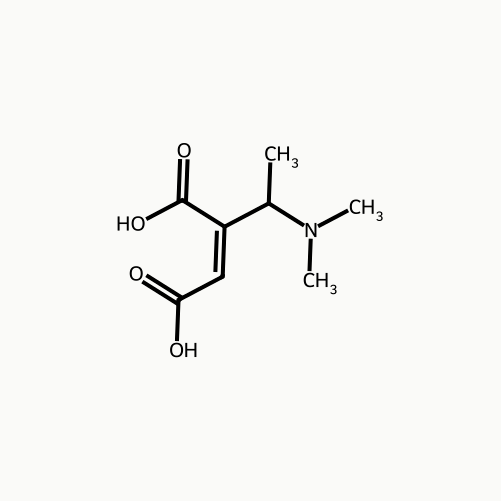 CC(C(=CC(=O)O)C(=O)O)N(C)C